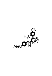 COc1ccc(CNc2cc(-c3ccc(C#N)cc3C)n3ncnc3n2)cc1